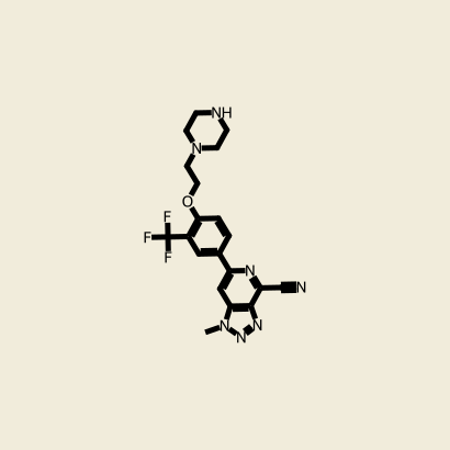 Cn1nnc2c(C#N)nc(-c3ccc(OCCN4CCNCC4)c(C(F)(F)F)c3)cc21